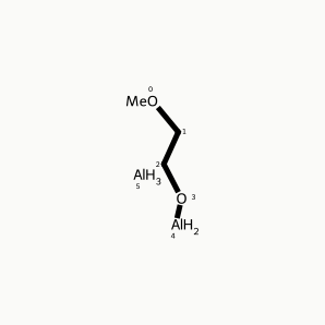 COCC[O][AlH2].[AlH3]